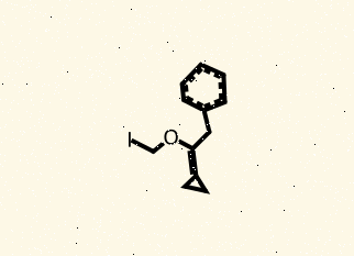 ICOC(Cc1ccccc1)=C1CC1